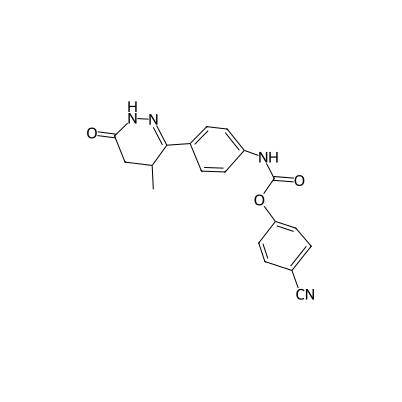 CC1CC(=O)NN=C1c1ccc(NC(=O)Oc2ccc(C#N)cc2)cc1